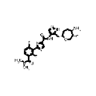 CN(C)C(=O)c1ccc(F)c(-c2nc(C(=O)Nc3cn[nH]c3C[C@@H]3CC[C@@H](N)[C@H](F)CO3)cs2)c1F